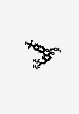 CCS(=O)(=O)c1ccc(C=C(C)C)nc1-c1ccn2nc(C(F)(F)F)cc2n1